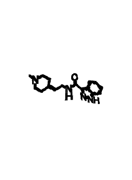 CN1CCC(=CCNC(=O)c2n[nH]c3ccccc23)CC1